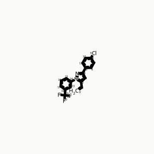 C=Cc1cc(-c2ccc(Cl)cc2)nn1-c1cccc(C(F)(F)F)c1